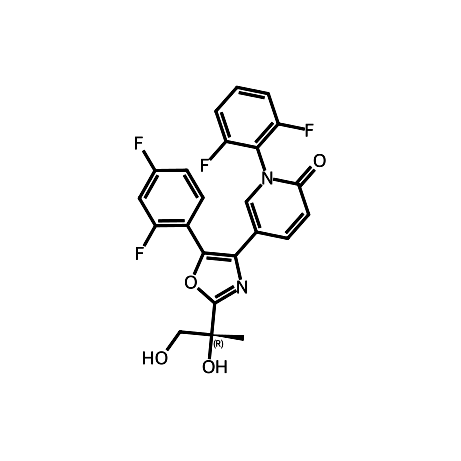 C[C@@](O)(CO)c1nc(-c2ccc(=O)n(-c3c(F)cccc3F)c2)c(-c2ccc(F)cc2F)o1